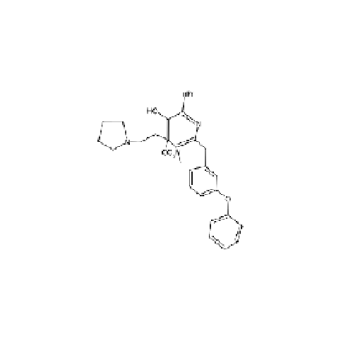 CCCC1=NC(Cc2cccc(Oc3ccccc3)c2)=C(C)C(CCN2CCCC2)(C(=O)O)C1O